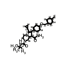 CC(C)(C)NC(=O)N1CCN2C(C3CC3)=C(c3ccc(OCc4ccc(F)cc4)cc3)C(C(N)=O)C2C1